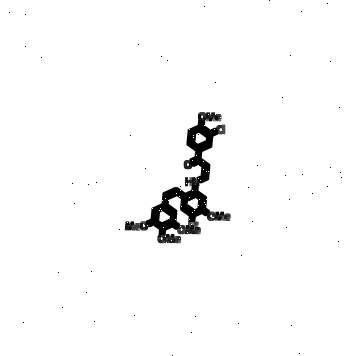 CCc1cc(/C=C\c2cc(OC)c(OC)c(OC)c2)c(N/C=C\C(=O)c2ccc(OC)c(Cl)c2)cc1OC